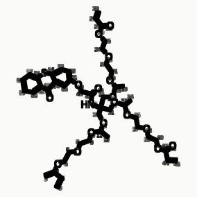 C=CC(=C)OCCOCCOC(C)OCC(COC(C)OCCOCCOC(=O)C=C)(COC(C)OCCOCCOC(=O)C=C)NC(=O)COc1ccc2sc3ccccc3c(=O)c2c1